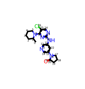 CC1CCCCN1c1nc(Nc2cncc(N3CCCC3=O)c2)ncc1Cl